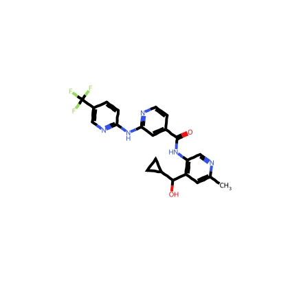 Cc1cc(C(O)C2CC2)c(NC(=O)c2ccnc(Nc3ccc(C(F)(F)F)cn3)c2)cn1